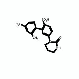 Cc1ccc(-c2cc(N3CCCNC3=O)ccc2S(=O)(=O)O)c(C)c1